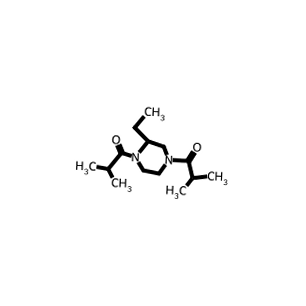 CCC1CN(C(=O)C(C)C)CCN1C(=O)C(C)C